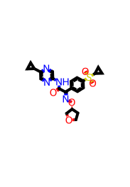 O=C(Nc1cnc(C2CC2)cn1)/C(=N/O[C@@H]1CCOC1)c1ccc(S(=O)(=O)C2CC2)cc1